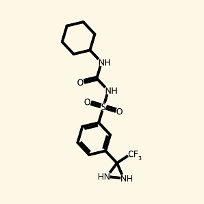 O=C(NC1CCCCC1)NS(=O)(=O)c1cccc(C2(C(F)(F)F)NN2)c1